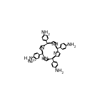 Nc1ccc(-c2c3nc(c(-c4ccc(N)cc4)c4ccc([nH]4)c(-c4ccc(N)cc4)c4nc(c(-c5ccc(N)cc5)c5ccc2[nH]5)C=C4)C=C3)cc1.[Ni+2]